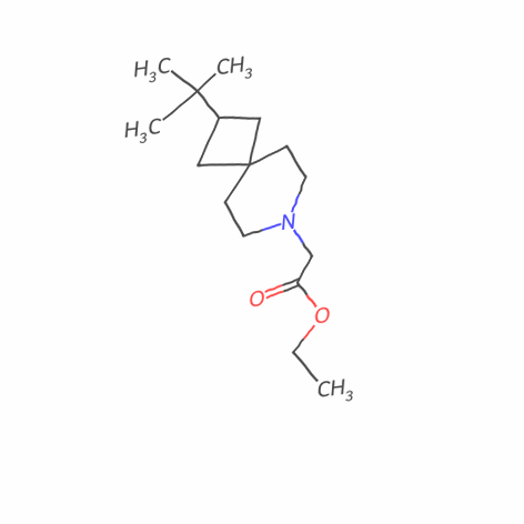 CCOC(=O)CN1CCC2(CC1)CC(C(C)(C)C)C2